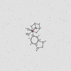 CN1CC2CC(C1)N2C(=O)c1ccc2c(c1)OCO2